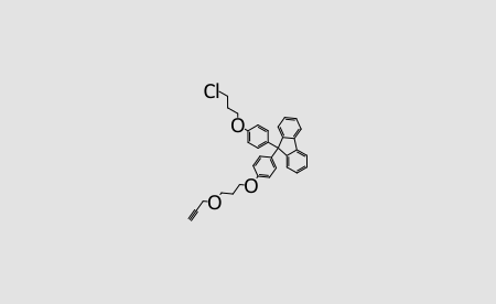 C#CCOCCCOc1ccc(C2(c3ccc(OCCCCl)cc3)c3ccccc3-c3ccccc32)cc1